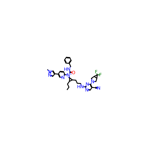 CCCC1/C(=[N+](/C(=O)NCc2ccccc2)c2ccc(-c3cnn(C)c3)cn2)C1CCCNc1ncc(C#N)c(N2CC3C(C2)C3(F)F)n1